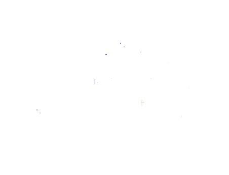 Fc1c(-c2cnnc(Nc3cccc4cnccc34)c2)cccc1C(F)(F)F